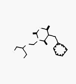 NCC(CO)OCN1C(=O)NC(=O)C(Cc2ccccc2)C1=O